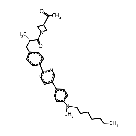 CCCCCCCN(C)c1ccc(-c2cnc(-c3ccc(C[C@H](C)C(=O)N4CC(C(C)=O)C4)cc3)nc2)cc1